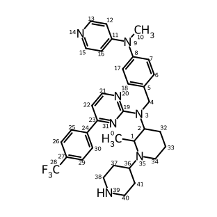 CC1C(N(Cc2ccc(N(C)c3ccncc3)cc2)c2nccc(-c3ccc(C(F)(F)F)cc3)n2)CCCN1C1CCNCC1